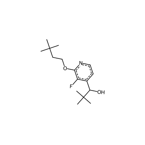 CC(C)(C)CCOc1nccc(C(O)C(C)(C)C)c1F